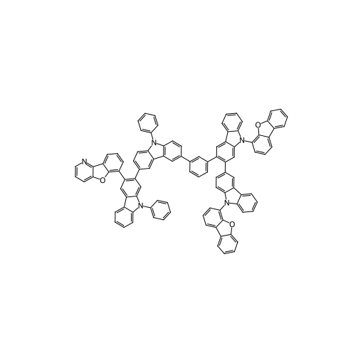 c1ccc(-n2c3ccc(-c4cccc(-c5cc6c7ccccc7n(-c7cccc8c7oc7ccccc78)c6cc5-c5ccc6c(c5)c5ccccc5n6-c5cccc6c5oc5ccccc56)c4)cc3c3cc(-c4cc5c(cc4-c4cccc6c4oc4cccnc46)c4ccccc4n5-c4ccccc4)ccc32)cc1